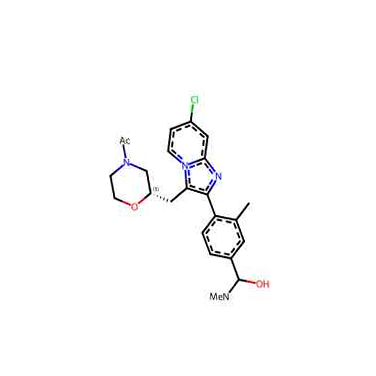 CNC(O)c1ccc(-c2nc3cc(Cl)ccn3c2C[C@H]2CN(C(C)=O)CCO2)c(C)c1